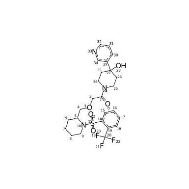 O=C(COCC1CCCCN1S(=O)(=O)c1ccccc1C(F)(F)F)N1CCC(O)(c2cccnc2)CC1